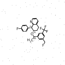 C[C@@H](O[C@H]1CCc2cccnc2[C@@H]1c1ccc(F)cc1)c1cc(CF)cc(C(F)(F)F)c1